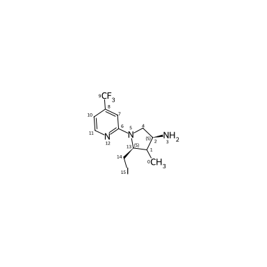 CC1[C@H](N)CN(c2cc(C(F)(F)F)ccn2)[C@@H]1CI